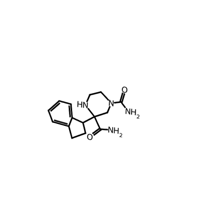 NC(=O)N1CCNC(C(N)=O)(C2CCc3ccccc32)C1